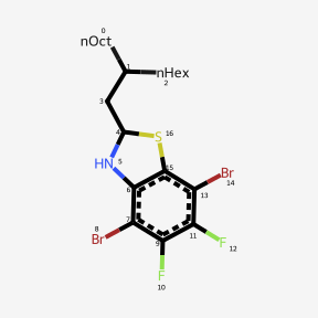 CCCCCCCCC(CCCCCC)CC1Nc2c(Br)c(F)c(F)c(Br)c2S1